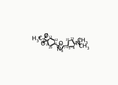 CN(C)c1ccc(-c2cnc(-c3ccc(S(C)(=O)=O)cc3)o2)cc1